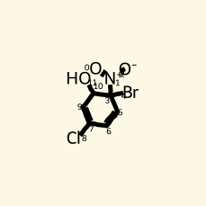 O=[N+]([O-])C1(Br)C=CC(Cl)=CC1O